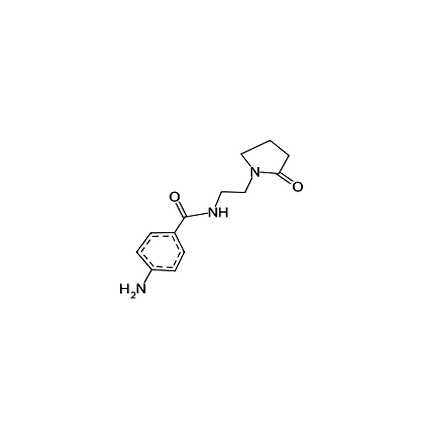 Nc1ccc(C(=O)NCCN2CCCC2=O)cc1